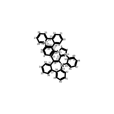 C=C[n+]1ccn(-c2ccccc2)c1C1=C(CCC2c3ccccc3-c3cccc[n+]3C2C)c2ccccc2-c2ccccc2N1c1ccccc1